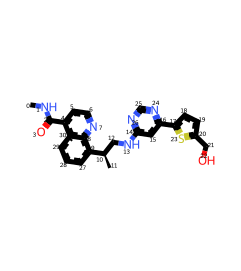 CNC(=O)c1ccnc2c([C@H](C)CNc3cc(-c4ccc(CO)s4)ncn3)cccc12